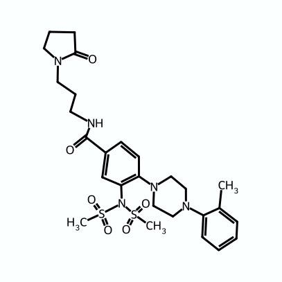 Cc1ccccc1N1CCN(c2ccc(C(=O)NCCCN3CCCC3=O)cc2N(S(C)(=O)=O)S(C)(=O)=O)CC1